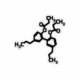 CCCc1ccc(OC(=O)CC)c(-c2cc(CCC)ccc2OC(=O)CC)c1